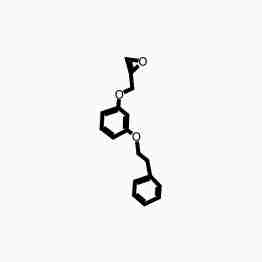 C1=C(COc2cccc(OCCc3ccccc3)c2)O1